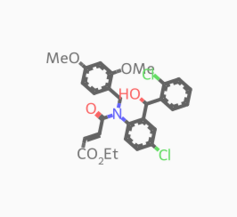 CCOC(=O)C=CC(=O)N(Cc1ccc(OC)cc1OC)c1ccc(Cl)cc1C(O)c1ccccc1Cl